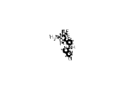 NC1=N[C@H](C(F)(F)F)C[C@@](CF)(c2cc(Nc3nccc4cc(Cl)cnc34)ccc2F)O1